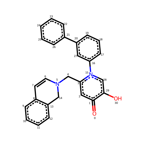 O=c1cc(CN2C=Cc3ccccc3C2)n(-c2cccc(-c3ccccc3)c2)cc1O